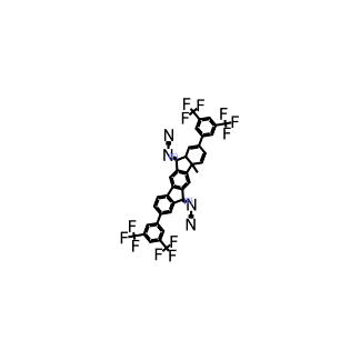 CC12C=CC(c3cc(C(F)(F)F)cc(C(F)(F)F)c3)=CC1/C(=N\C#N)c1cc3c(cc12)/C(=N/C#N)c1cc(-c2cc(C(F)(F)F)cc(C(F)(F)F)c2)ccc1-3